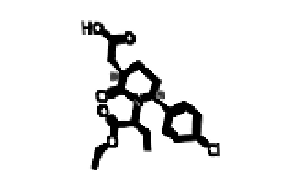 CCOC(=O)C(CC)N1C(=O)[C@@H](CC(=O)O)CC[C@H]1c1ccc(Cl)cc1